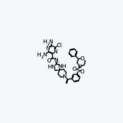 C=C(c1cccc(S(=O)(=O)N2CCOC(c3ccccc3)C2)c1)N1CCC2(CC1)CN/C(=N\C(=O)c1nc(Cl)c(N)nc1N)N2